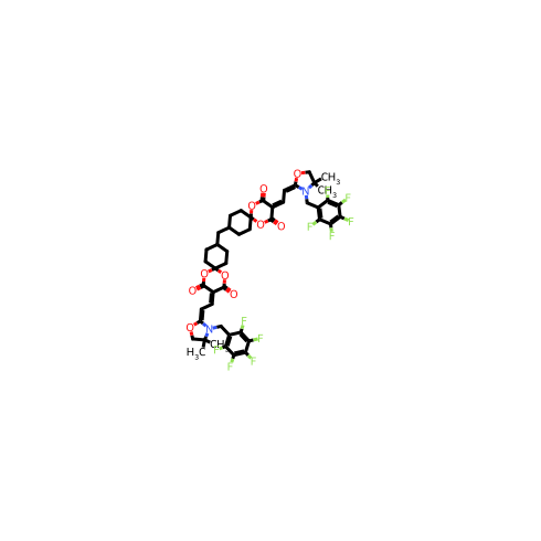 CC1(C)CO/C(=C/C=C2C(=O)OC3(CCC(CC4CCC5(CC4)OC(=O)C(=C/C=C4/OCC(C)(C)N4Cc4c(F)c(F)c(F)c(F)c4F)C(=O)O5)CC3)OC2=O)N1Cc1c(F)c(F)c(F)c(F)c1F